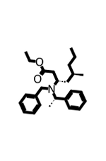 CCC[C@@H](C)C[C@@H](CC(=O)OCC)N(Cc1ccccc1)[C@@H](C)c1ccccc1